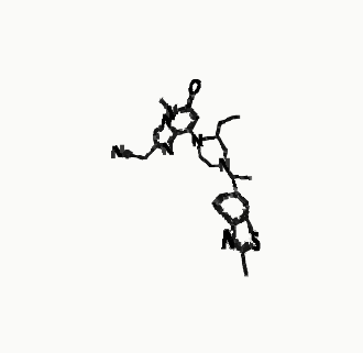 CCC1CN(C(C)c2ccc3nc(C)sc3c2)CCN1c1cc(=O)n(C)n2cc(CC#N)nc12